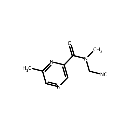 [C-]#[N+]CN(C)C(=O)c1cncc(C)n1